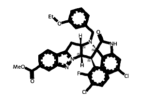 CCOc1cccc(CN2[C@H]3Cc4c5ccc(C(=O)OC)cc5nn4[C@H]3[C@H](c3cccc(Cl)c3F)[C@]23C(=O)Nc2cc(Cl)ccc23)c1